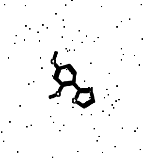 COc1ccc(-c2ncco2)c(OC)c1